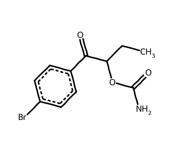 CCC(OC(N)=O)C(=O)c1ccc(Br)cc1